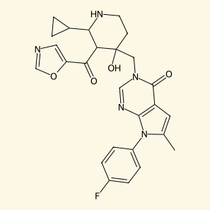 Cc1cc2c(=O)n(CC3(O)CCNC(C4CC4)C3C(=O)c3cnco3)cnc2n1-c1ccc(F)cc1